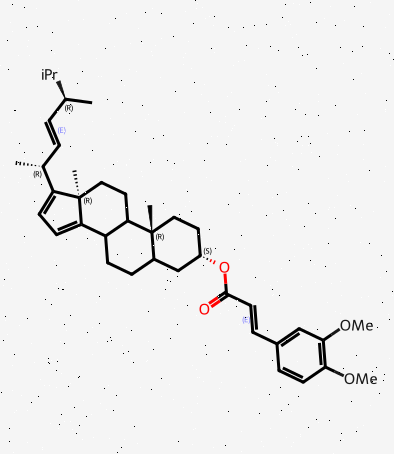 COc1ccc(/C=C/C(=O)O[C@H]2CC[C@]3(C)C(CCC4C5=CC=C([C@H](C)/C=C/[C@H](C)C(C)C)[C@@]5(C)CCC43)C2)cc1OC